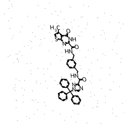 Cc1csc2nc(C(=O)NCc3cccc(CNC(=O)c4ncn(C(c5ccccc5)(c5ccccc5)c5ccccc5)n4)c3)[nH]c(=O)c12